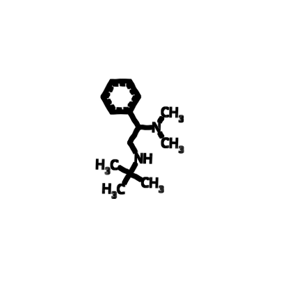 CN(C)C(CNC(C)(C)C)c1ccccc1